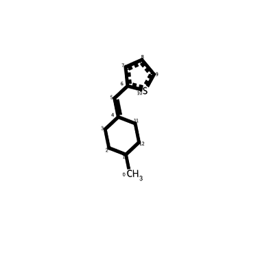 CC1CCC(=Cc2cccs2)CC1